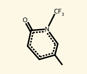 Cc1ccc(=O)n(C(F)(F)F)c1